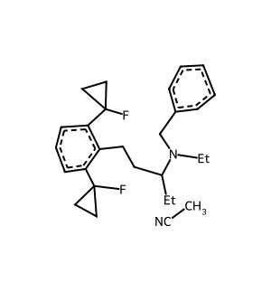 CC#N.CCC(CCc1c(C2(F)CC2)cccc1C1(F)CC1)N(CC)Cc1ccccc1